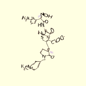 C[n+]1ccc(CN2CC/C(=C\C3=C(C(=O)[O-])N4C(=O)[C@@H](NC(=O)/C(=N\O)c5csc(N)n5)[C@H]4SC3)C2=O)cc1